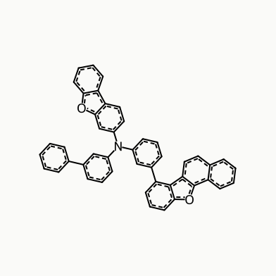 c1ccc(-c2cccc(N(c3cccc(-c4cccc5oc6c7ccccc7ccc6c45)c3)c3ccc4c(c3)oc3ccccc34)c2)cc1